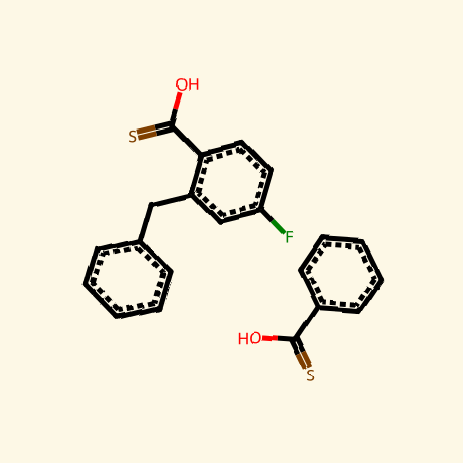 OC(=S)c1ccc(F)cc1Cc1ccccc1.OC(=S)c1ccccc1